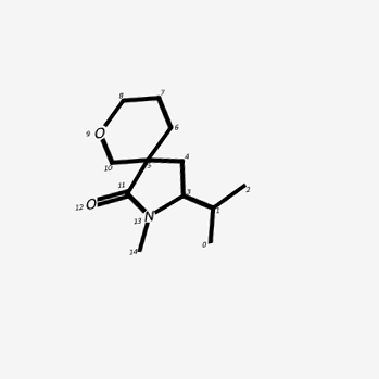 CC(C)C1CC2(CCCOC2)C(=O)N1C